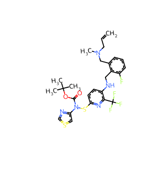 C=CCN(C)Cc1cccc(F)c1CNc1ccc(SN(C(=O)OC(C)(C)C)c2cscn2)nc1C(F)(F)F